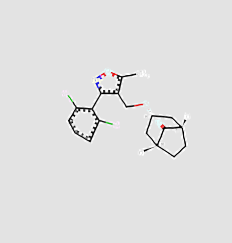 Cc1onc(-c2c(Cl)cccc2Cl)c1CO[C@H]1C[C@H]2CC[C@@H](C1)C2=O